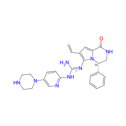 C=Cc1cc2n(c1/N=C(\N)Nc1ccc(N3CCNCC3)cn1)[C@@H](c1ccccc1)CNC2=O